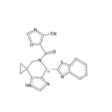 N#Cc1ncoc1C(=O)N1CC2(CC2)c2[nH]cnc2[C@H]1c1nc2ccccc2s1